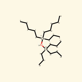 CCCC[CH2][Ge]([CH2]CC)([CH2]CCCC)[O][Ge]([CH2]CC)([CH2]CC)[CH2]CC